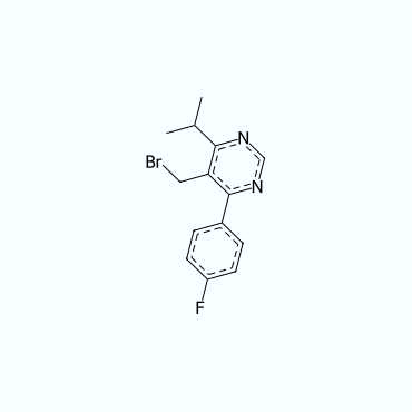 CC(C)c1ncnc(-c2ccc(F)cc2)c1CBr